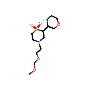 COCOCCN1CCS(=O)(=O)C(C2COCCN2)C1